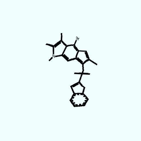 CC1=CC2=C(Br)C3C(=CC2=C1C(C)(C)C1=Cc2ccccc2C1)N(C)C(C)=C3C